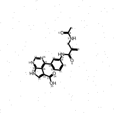 C=C(CNC(C)=O)C(=O)Nc1cccc(-c2ncnc3[nH]cc(C(=O)O)c23)c1